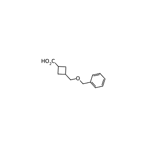 O=C(O)C1CC(COCc2ccccc2)C1